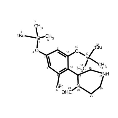 CCCc1cc(O[Si](C)(C)C(C)(C)C)cc(O[Si](C)(C)C(C)(C)C)c1C1CNCCN1C=O